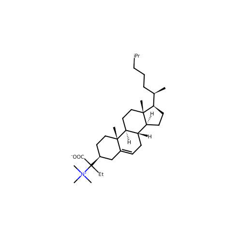 CCC(C(=O)[O-])([C@H]1CC[C@@]2(C)C(=CC[C@H]3[C@@H]4CC[C@H]([C@H](C)CCCC(C)C)[C@@]4(C)CC[C@@H]32)C1)[N+](C)(C)C